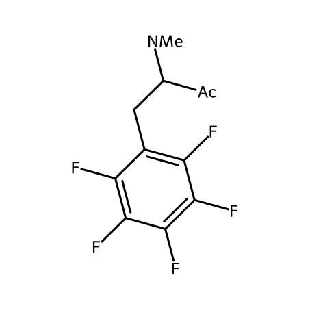 CNC(Cc1c(F)c(F)c(F)c(F)c1F)C(C)=O